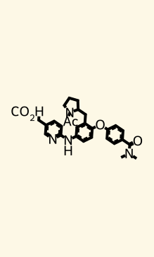 CC(=O)N1CCCC1Cc1cc(Nc2ccc(CC(=O)O)cn2)ccc1Oc1ccc(C(=O)N(C)C)cc1